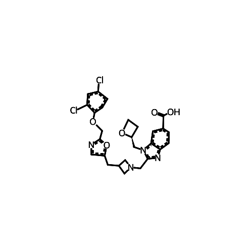 O=C(O)c1ccc2nc(CN3CC(Cc4cnc(COc5ccc(Cl)cc5Cl)o4)C3)n(C[C@@H]3CCO3)c2c1